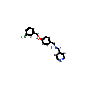 Clc1cccc(COc2ccc(CNCc3ccncc3)cc2)c1